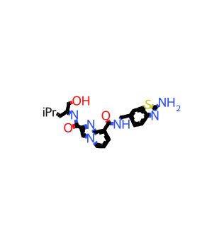 CC(C)C/C(CO)=N\C(=O)c1cn2cccc(C(=O)NCc3ccc4nc(N)sc4c3)c2n1